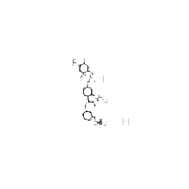 Cc1cc([C@H](C)NC(=O)c2ccc3c(Cc4cccc(OC(C)(C)C(=O)O)c4)c(C)n(CC(C)C)c3c2)ccc1F